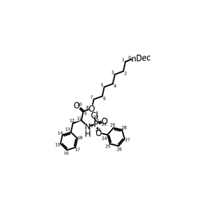 CCCCCCCCCCCCCCCCCOC(=O)[C@H](Cc1ccccc1)NP(=O)(Cl)Oc1ccccc1